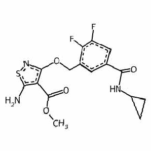 COC(=O)c1c(OCc2cc(C(=O)NC3CC3)cc(F)c2F)nsc1N